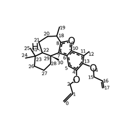 C=CCOc1cc2c3c(oc2c(C)c1OCC=C)C(C)CC[C@@H]1C(C)(C)CCC[C@@]31C